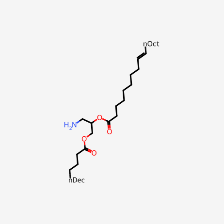 CCCCCCCCC=CCCCCCCCC(=O)OC(CN)COC(=O)CCCCCCCCCCCCC